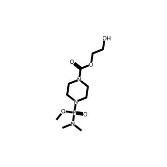 COP(=O)(N(C)C)N1CCN(C(=O)OCCO)CC1